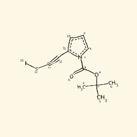 CC(C)(C)OC(=O)n1cccc1C#CSI